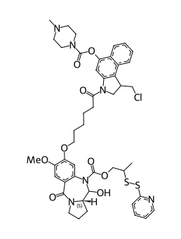 COc1cc2c(cc1OCCCCCC(=O)N1CC(CCl)c3c1cc(OC(=O)N1CCN(C)CC1)c1ccccc31)N(C(=O)OCC(C)SSc1ccccn1)C(O)[C@@H]1CCCN1C2=O